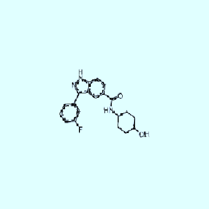 O=C(NC1CCC(O)CC1)c1ccc2[nH]nc(-c3cccc(F)c3)c2c1